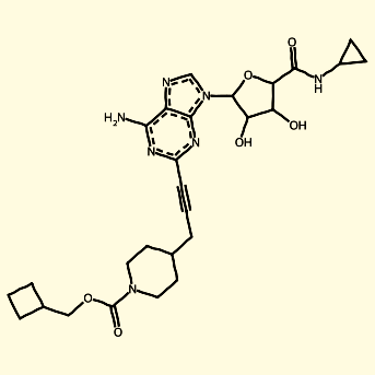 Nc1nc(C#CCC2CCN(C(=O)OCC3CCC3)CC2)nc2c1ncn2C1OC(C(=O)NC2CC2)C(O)C1O